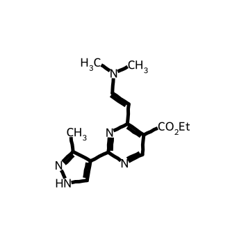 CCOC(=O)c1cnc(-c2c[nH]nc2C)nc1/C=C/N(C)C